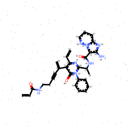 C=CC(=O)NCCC#CC(=C)c1c(C=C)nc(C(C)NC(=O)c2c(N)nc3cccnn23)n(-c2ccccc2)c1=O